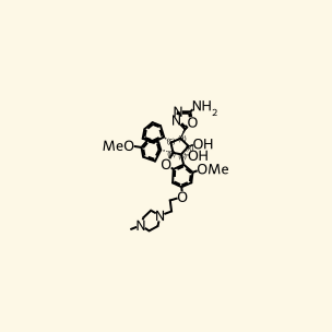 COc1ccc([C@@]23Oc4cc(OCCN5CCN(C)CC5)cc(OC)c4[C@]2(O)[C@H](O)[C@H](c2nnc(N)o2)[C@H]3c2ccccc2)cc1